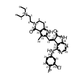 CCN(CC)CCN1CCc2[nH]c(C=C3C(=O)Nc4ncnc(Nc5ccc(F)c(Cl)c5)c43)c(C)c2C1=O